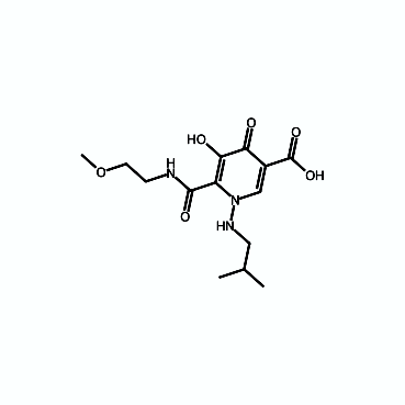 COCCNC(=O)c1c(O)c(=O)c(C(=O)O)cn1NCC(C)C